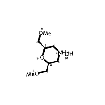 COC[C@H]1CNC[C@@H](COC)O1.Cl